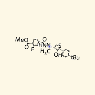 COC(=O)c1ccc(C(=O)N/N=C(\C)c2csc(-c3ccc(C(C)(C)C)cc3)c2O)cc1F